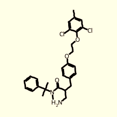 Cc1cc(Cl)c(OCCOc2ccc(CC(CN)C(=O)N(C)C(C)(C)c3ccccc3)cc2)c(Cl)c1